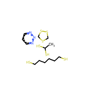 C1SCSS1.CC(S)S.SCCCCCCS.c1cnnnc1